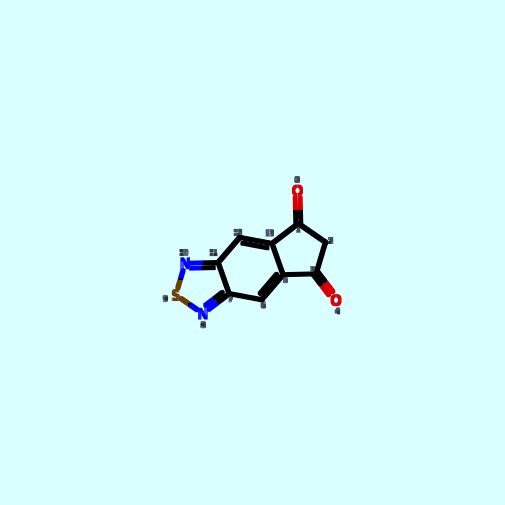 O=C1CC(=O)c2cc3nsnc3cc21